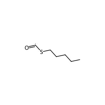 CCCCCS[C]=O